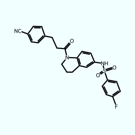 N#Cc1ccc(CCC(=O)N2CCCc3cc(NS(=O)(=O)c4ccc(F)cc4)ccc32)cc1